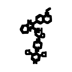 CCN1CCCc2cc(-c3nc4ccccn4c3NCC(=O)N3CCN(c4c(Cl)cncc4Cl)CC3)ccc21